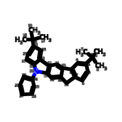 CC(C)(C)c1ccc2c(c1)-c1cc3c4cc(C(C)(C)C)ccc4n(-c4ccccc4)c3cc1C2